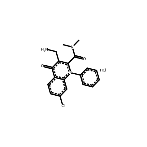 CN(C)C(=O)c1c(CN)c(=O)c2ccc(Cl)cc2n1-c1ccccc1.Cl